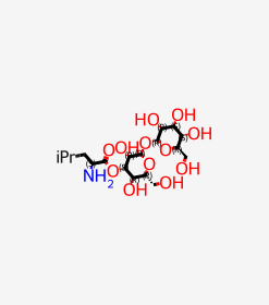 CC(C)C[C@H](N)C(=O)O[C@@H]1[C@@H](O)[C@@H](O[C@H]2O[C@H](CO)[C@@H](O)[C@H](O)[C@H]2O)O[C@H](CO)[C@H]1O